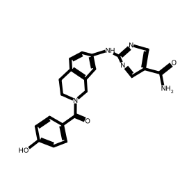 NC(=O)c1cnc(Nc2ccc3c(c2)CN(C(=O)c2ccc(O)cc2)CC3)nc1